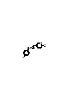 Fc1ccc(NNCc2ccc(Cl)nc2)cc1